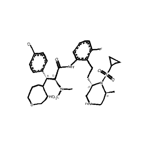 C[C@H]1CNC[C@H](CCc2c(F)cccc2NC(=O)[C@H]([C@@H](c2ccc(Cl)cc2)C2CCOCC2)N(C)C(=O)O)N1S(=O)(=O)C1CC1